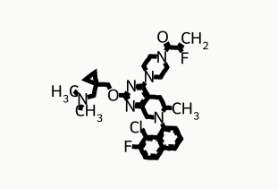 C=C(F)C(=O)N1CCN(c2nc(OCC3(CN(C)C)CC3)nc3c2CC(C)N(c2cccc4ccc(F)c(Cl)c24)C3)CC1